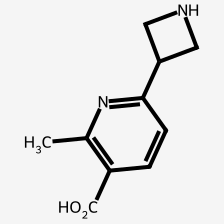 Cc1nc(C2CNC2)ccc1C(=O)O